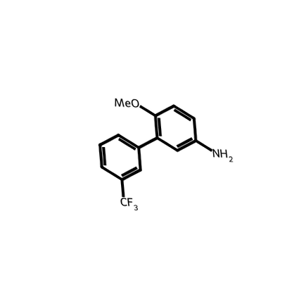 COc1ccc(N)cc1-c1cccc(C(F)(F)F)c1